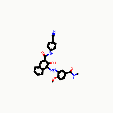 CNC(=O)c1ccc(OC)c(/N=N/c2c(O)c(C(=O)Nc3ccc(C#N)cc3)cc3ccccc23)c1